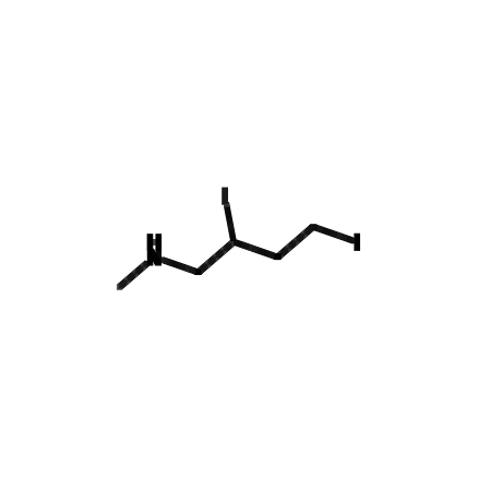 CNCC(I)CCI